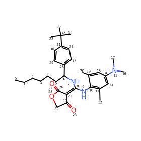 CCCCCCC(NC(Nc1c(C)cc(N(C)C)cc1C)=C1C(=O)COC1=O)c1ccc(C(C)(C)C)cc1